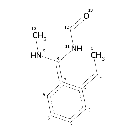 C/C=c1/cccc/c1=C(\NC)NC=O